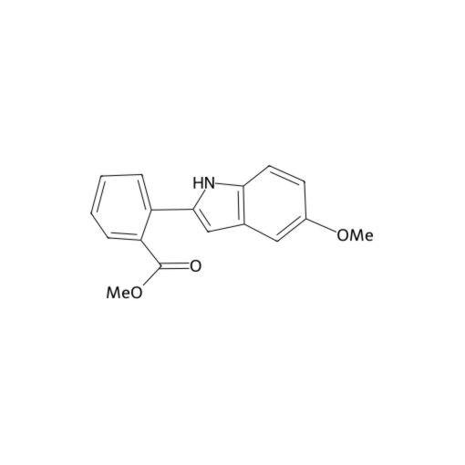 COC(=O)c1ccccc1-c1cc2cc(OC)ccc2[nH]1